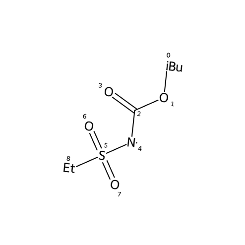 CCC(C)OC(=O)[N]S(=O)(=O)CC